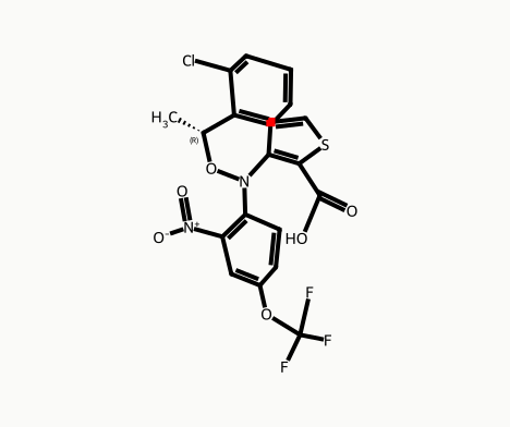 C[C@@H](ON(c1ccc(OC(F)(F)F)cc1[N+](=O)[O-])c1ccsc1C(=O)O)c1ccccc1Cl